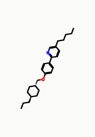 CCCCCc1ccc(-c2ccc(OC[C@H]3CC[C@H](CCC)CC3)cc2)nc1